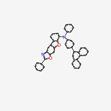 c1ccc(-c2nc3cc4c(cc3o2)oc2c(N(c3ccccc3)c3ccc(-c5cc6ccccc6c6ccccc56)cc3)cccc24)cc1